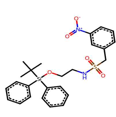 CC(C)(C)[Si](OCCNS(=O)(=O)Cc1cccc([N+](=O)[O-])c1)(c1ccccc1)c1ccccc1